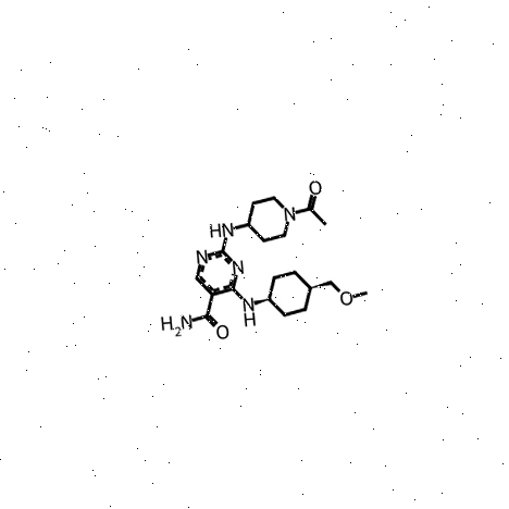 COC[C@H]1CC[C@@H](Nc2nc(NC3CCN(C(C)=O)CC3)ncc2C(N)=O)CC1